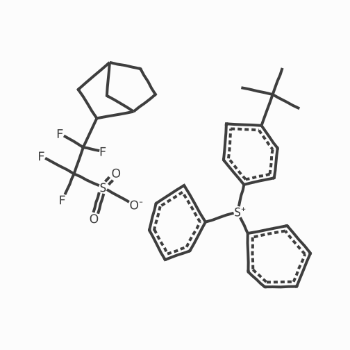 CC(C)(C)c1ccc([S+](c2ccccc2)c2ccccc2)cc1.O=S(=O)([O-])C(F)(F)C(F)(F)C1CC2CCC1C2